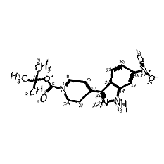 CC(C)(C)OC(=O)N1CCC(C2=NNC3C=C([N+](=O)[O-])C=CC23)CC1